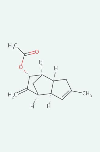 C=C1[C@H]2C[C@H]([C@H]3CC(C)=C[C@H]32)[C@H]1OC(C)=O